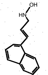 ONCC=Cc1cccc2ccccc12